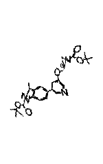 Cc1nn(C(=O)OC(C)(C)C)c2ccc(-c3cncc(OC[C@@H]4CN4C(=O)OC(C)(C)C)c3)cc12